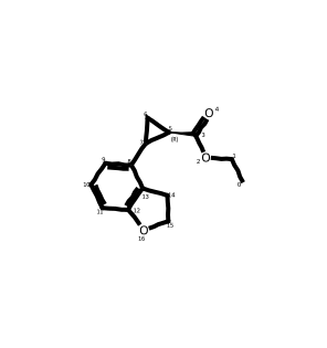 CCOC(=O)[C@@H]1CC1c1cccc2c1CCO2